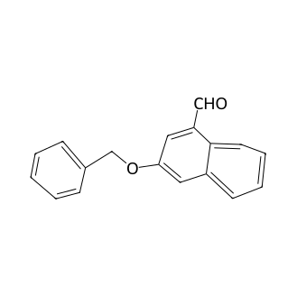 O=Cc1cc(OCc2ccccc2)cc2ccccc12